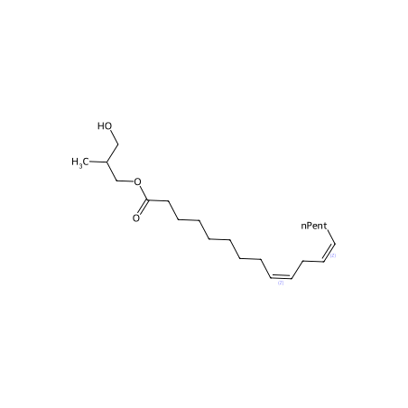 CCCCC/C=C\C/C=C\CCCCCCCC(=O)OCC(C)CO